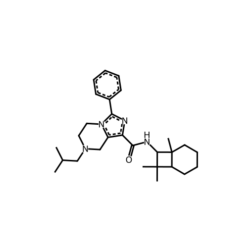 CC(C)CN1CCn2c(-c3ccccc3)nc(C(=O)NC3C(C)(C)C4CCCCC43C)c2C1